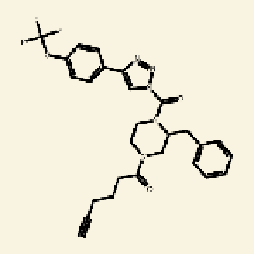 C#CCCCC(=O)N1CCN(C(=O)n2cc(-c3ccc(OC(F)(F)F)cc3)nn2)C(Cc2ccccc2)C1